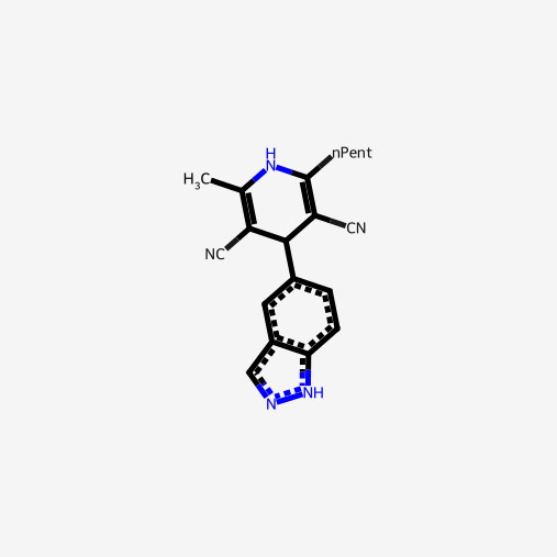 CCCCCC1=C(C#N)C(c2ccc3[nH]ncc3c2)C(C#N)=C(C)N1